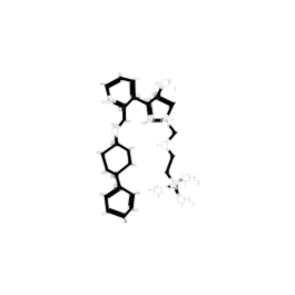 C[Si](C)(C)CCOCn1cc(C(F)(F)F)c(-c2cccnc2COC2CCC(c3ccccc3)CC2)n1